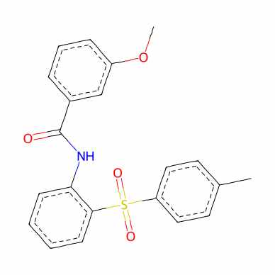 COc1cccc(C(=O)Nc2ccccc2S(=O)(=O)c2ccc(C)cc2)c1